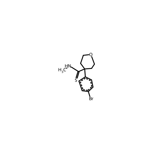 CNC(=S)C1(c2ccc(Br)cc2)CCOCC1